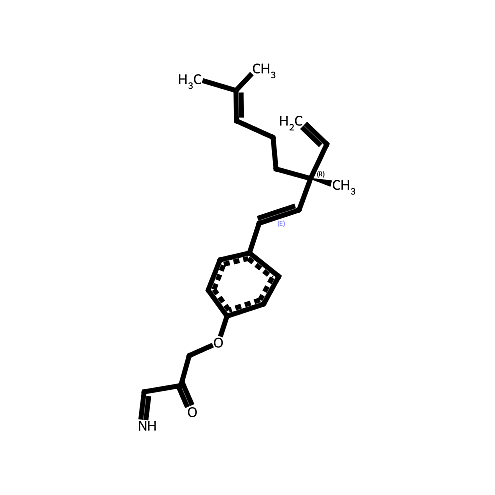 C=C[C@](C)(/C=C/c1ccc(OCC(=O)C=N)cc1)CCC=C(C)C